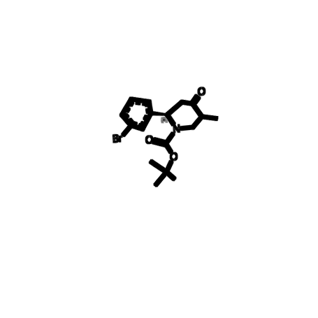 CC1CN(C(=O)OC(C)(C)C)[C@@H](c2cccc(Br)c2)CC1=O